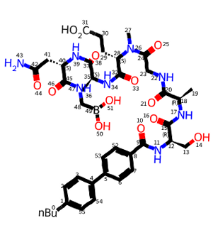 CCCCc1ccc(-c2ccc(C(=O)N[C@H](CO)C(=O)N[C@H](C)C(=O)NCC(=O)N(C)[C@@H](CCC(=O)O)C(=O)N[C@@H](C)C(=O)N[C@@H](CC(N)=O)C(=O)NCB(O)O)cc2)cc1